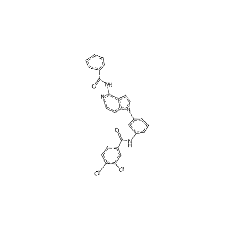 O=C(Nc1cccc(-n2ccc3c(NC(=O)c4ccccc4)nccc32)c1)c1ccc(Cl)c(Cl)c1